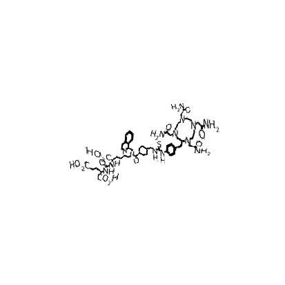 NC(=O)CN1CCN(CC(N)=O)CCN(CC(N)=O)C(Cc2ccc(NC(=S)NCC3CCC(C(=O)N(CCCC[C@@H](NC(=O)N[C@H](CCC(=O)O)C(=O)O)C(=O)O)Cc4nccc5ccccc45)CC3)cc2)CN(CC(N)=O)CC1